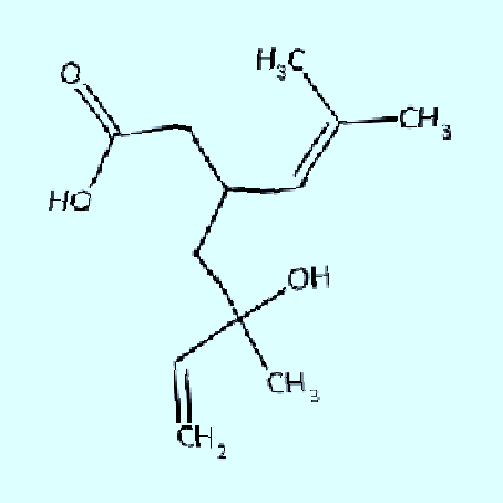 C=CC(C)(O)CC(C=C(C)C)CC(=O)O